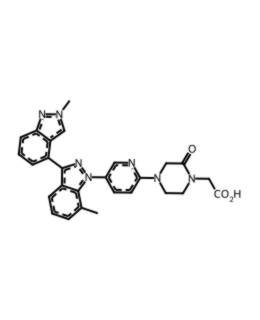 Cc1cccc2c(-c3cccc4nn(C)cc34)nn(-c3ccc(N4CCN(CC(=O)O)C(=O)C4)nc3)c12